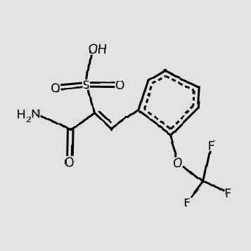 NC(=O)C(=Cc1ccccc1OC(F)(F)F)S(=O)(=O)O